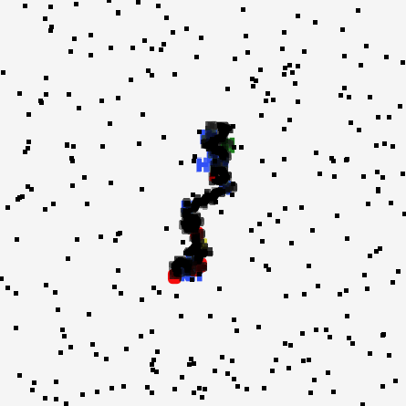 CN(CCCCCCCN(C)[C@H]1CC[C@H](Nc2ncc(Cl)c(-c3cnn(C)c3CC3CC3)n2)CC1)Cc1ccc(OCc2scc3c2CN([C@H]2CCC(=O)NC2=O)C3=O)cc1